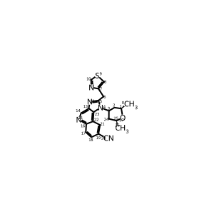 C[C@@H]1CC(n2c(Cc3cscn3)nc3cnc4ccc(C#N)cc4c32)C[C@H](C)O1